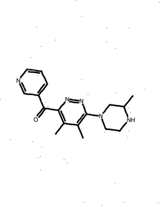 Cc1c(C(=O)c2cccnc2)nnc(N2CCNC(C)C2)c1C